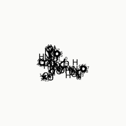 CCC[C@H](NC(=O)[C@@H]1CN(C(=O)OC(C)(C)C)C[C@@H]1NC(=O)[C@H](Cc1ccccc1)NC(=O)[C@@H](NC(=O)c1cnccn1)C1CCCCC1)C(O)C(=O)NCC(=O)N[C@H](C(=O)N(C)C)c1ccccc1